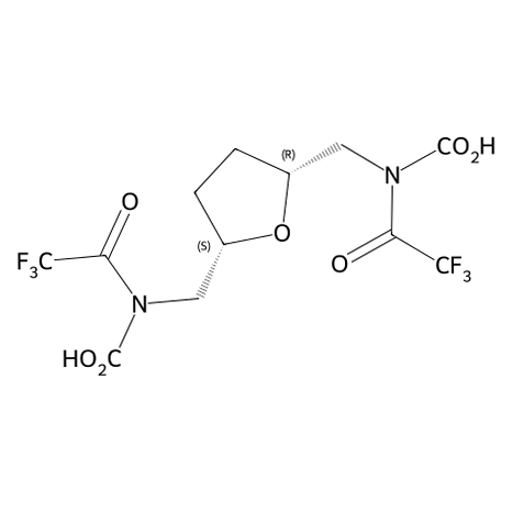 O=C(O)N(C[C@H]1CC[C@@H](CN(C(=O)O)C(=O)C(F)(F)F)O1)C(=O)C(F)(F)F